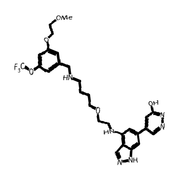 COCCOc1cc(CNCCCCOCCNc2cc(-c3cnnc(O)c3)cc3[nH]ncc23)cc(OC(F)(F)F)c1